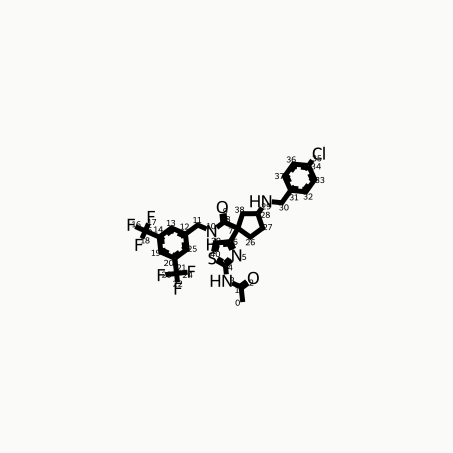 CC(=O)Nc1nc(C2(C(=O)NCc3cc(C(F)(F)F)cc(C(F)(F)F)c3)CCC(NCc3ccc(Cl)cc3)C2)cs1